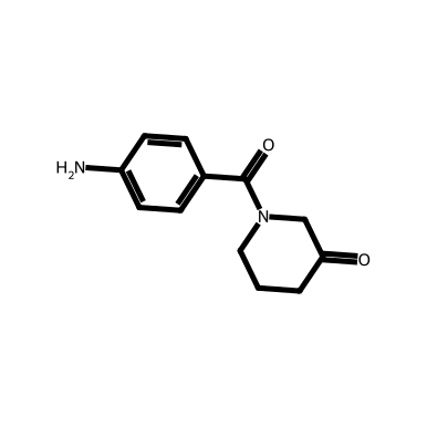 Nc1ccc(C(=O)N2CCCC(=O)C2)cc1